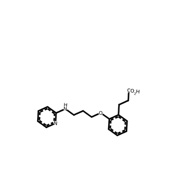 O=C(O)CCc1ccccc1OCCCNc1ccccn1